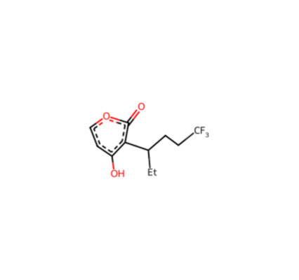 CCC(CCC(F)(F)F)c1c(O)ccoc1=O